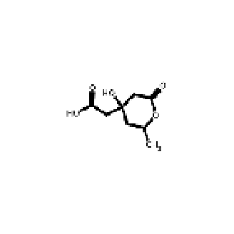 CC1CC(O)(CC(=O)O)CC(=O)O1